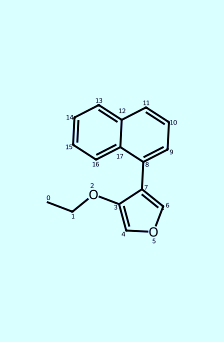 CCOc1co[c]c1-c1cccc2ccccc12